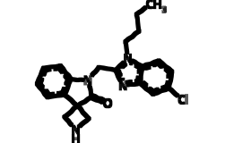 CCCCn1c(CN2C(=O)C3(CNC3)c3ccccc32)nc2cc(Cl)ccc21